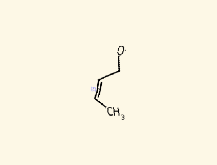 C/C=C\C[O]